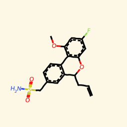 C=CCC1Oc2cc(F)cc(OC)c2-c2ccc(CS(N)(=O)=O)cc21